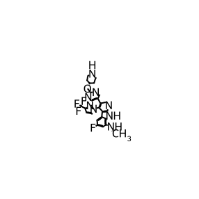 CCNc1cc(F)cc2c1[nH]c1ncc(-c3cnc(OC4CCNCC4)nc3)c(-n3ccc(C(F)(F)F)n3)c12